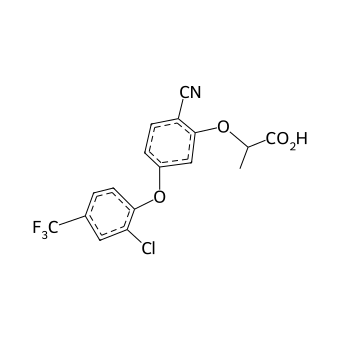 CC(Oc1cc(Oc2ccc(C(F)(F)F)cc2Cl)ccc1C#N)C(=O)O